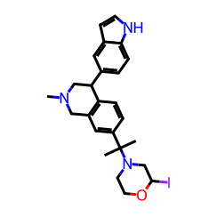 CN1Cc2cc(C(C)(C)N3CCOC(I)C3)ccc2C(c2ccc3[nH]ccc3c2)C1